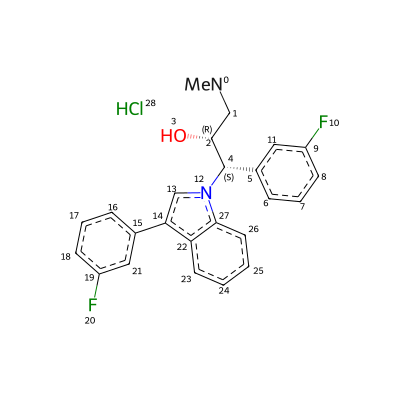 CNC[C@@H](O)[C@H](c1cccc(F)c1)n1cc(-c2cccc(F)c2)c2ccccc21.Cl